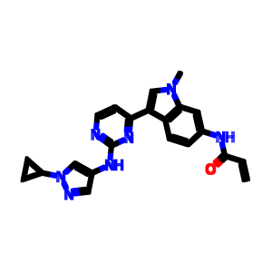 C=CC(=O)Nc1ccc2c(-c3ccnc(Nc4cnn(C5CC5)c4)n3)cn(C)c2c1